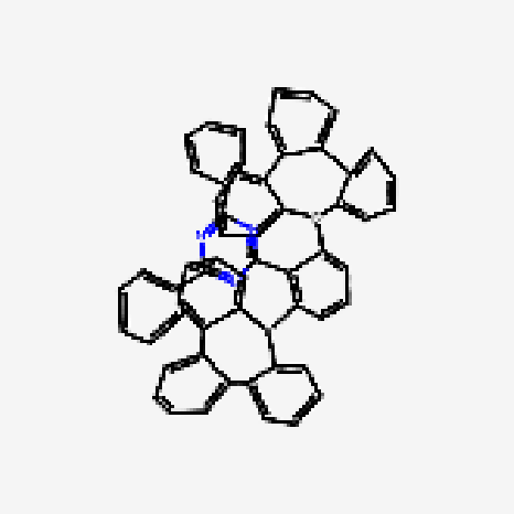 c1ccc(-c2nc(-c3ccccc3)nc(-c3c(B4c5ccccc5-c5ccccc5-c5ccccc54)cccc3B3c4ccccc4-c4ccccc4-c4ccccc43)n2)cc1